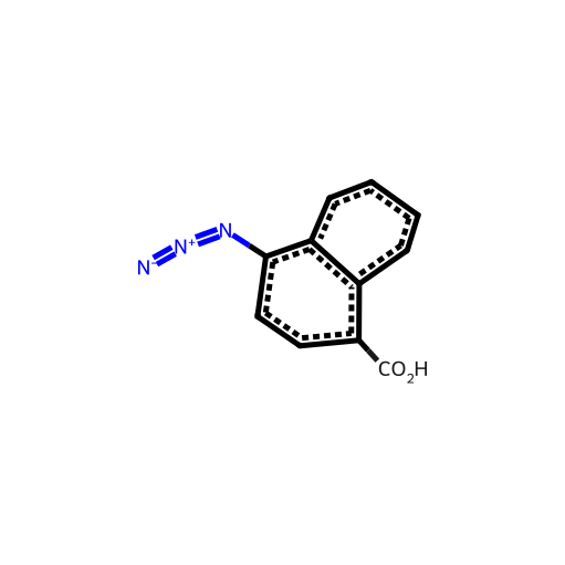 [N-]=[N+]=Nc1ccc(C(=O)O)c2ccccc12